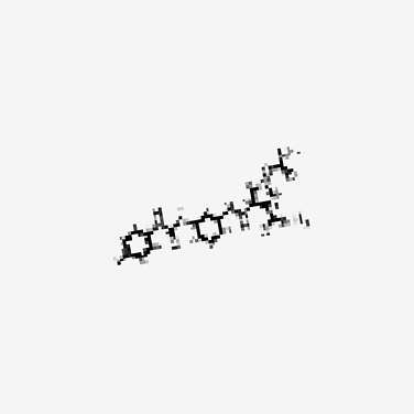 Cc1ccc(NC(=O)Nc2cccc(CNc3cn(OC(=O)C(F)(F)F)nc3C(N)=O)c2)cc1